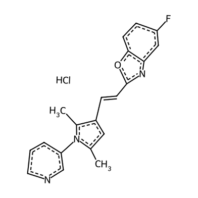 Cc1cc(/C=C/c2nc3cc(F)ccc3o2)c(C)n1-c1cccnc1.Cl